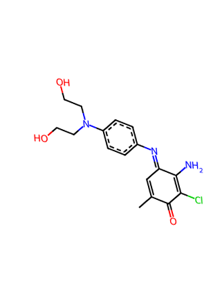 CC1=CC(=Nc2ccc(N(CCO)CCO)cc2)C(N)=C(Cl)C1=O